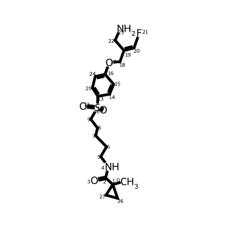 CC1(C(=O)NCCCCCS(=O)(=O)c2ccc(OC/C(=C/F)CN)cc2)CC1